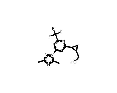 Cc1nc(C)n(-c2cc(C3CC3CO)nc(C(F)(F)F)n2)n1